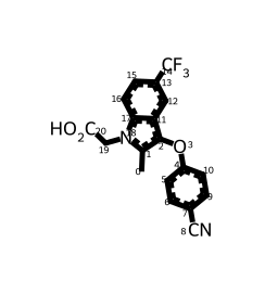 Cc1c(Oc2ccc(C#N)cc2)c2cc(C(F)(F)F)ccc2n1CC(=O)O